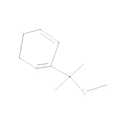 CSC(C)(C)C1=CCCC=C1